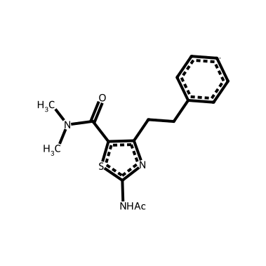 CC(=O)Nc1nc(CCc2cc[c]cc2)c(C(=O)N(C)C)s1